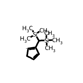 C[Si](C)(C)C(C1=[C]CC=C1)[Si](C)(C)C